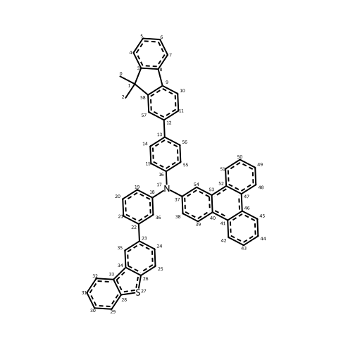 CC1(C)c2ccccc2-c2ccc(-c3ccc(N(c4cccc(-c5ccc6sc7ccccc7c6c5)c4)c4ccc5c6ccccc6c6ccccc6c5c4)cc3)cc21